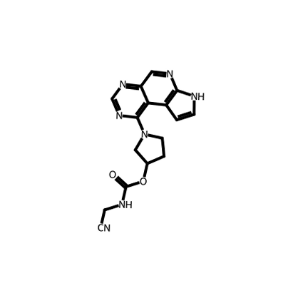 N#CCNC(=O)OC1CCN(c2ncnc3cnc4[nH]ccc4c23)C1